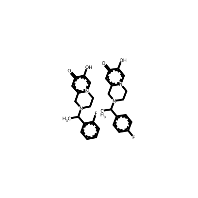 CC(c1ccc(F)cc1)N1CCn2cc(O)c(=O)cc2C1.CC(c1ccccc1F)N1CCn2cc(O)c(=O)cc2C1